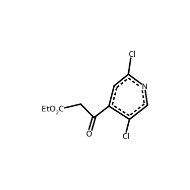 CCOC(=O)CC(=O)c1cc(Cl)ncc1Cl